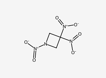 O=[N+]([O-])N1CC([N+](=O)[O-])([N+](=O)[O-])C1